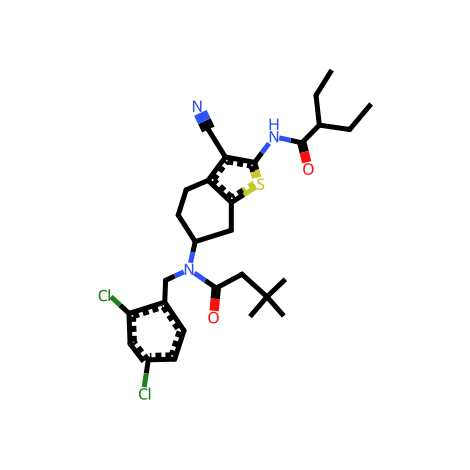 CCC(CC)C(=O)Nc1sc2c(c1C#N)CCC(N(Cc1ccc(Cl)cc1Cl)C(=O)CC(C)(C)C)C2